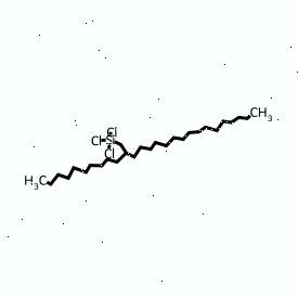 CCCCCCCCCCCCCCCCC(CCCCCCCCCC)C[Si](Cl)(Cl)Cl